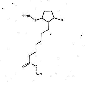 CCCCCCCCCCOC(=O)CCCCCCC1C(O)CCC1SCCCCCCC